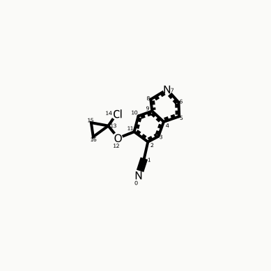 N#Cc1cc2ccncc2cc1OC1(Cl)CC1